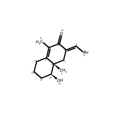 CCC(C)C=C1C[C@@]2(C)C(=C(C)C1=O)CCC[C@@H]2O